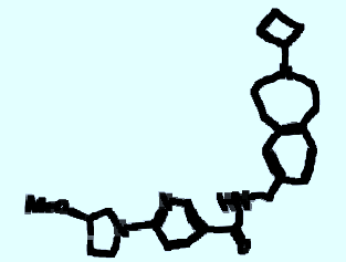 CO[C@@H]1CCN(c2ccc(C(=O)NCc3ccc4c(c3)CCN(C3CCC3)CC4)cn2)C1